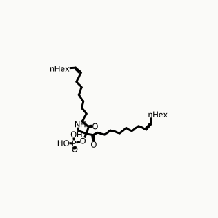 CCCCCC/C=C\CCCCCCCC(=O)C(CN)(OP(=O)(O)O)C(=O)CCCCCCC/C=C\CCCCCC